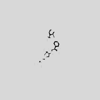 Cc1oc2ccc(OCc3ccccc3C(F)(F)F)cc2c1C(=O)NC1CN(C(=O)OC(C)(C)C)CC1(F)F